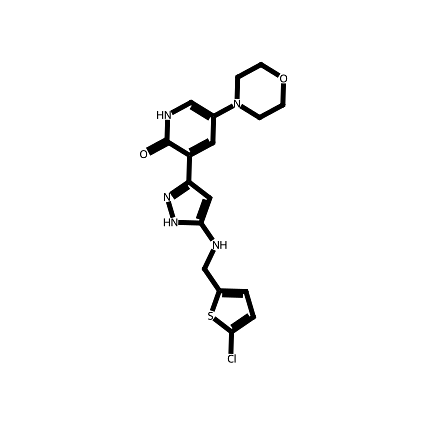 O=c1[nH]cc(N2CCOCC2)cc1-c1cc(NCc2ccc(Cl)s2)[nH]n1